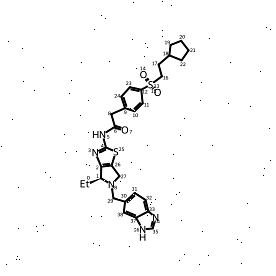 CC[C@H]1c2nc(NC(=O)Cc3ccc(S(=O)(=O)CCC4CCCC4)cc3)sc2CN1Cc1ccc2nc[nH]c2c1